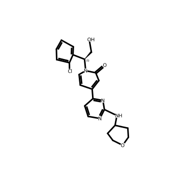 O=c1cc(-c2ccnc(NC3CCOCC3)n2)ccn1[C@H](CO)c1ccccc1Cl